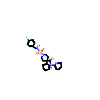 O=C(Nc1ccccn1)C1(c2ccccc2)CCN(S(=O)(=O)NCc2ccc(F)cc2)CC1